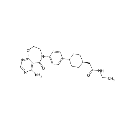 CCNC(=O)C[C@H]1CC[C@H](c2ccc(N3CCOc4ncnc(N)c4C3=O)cc2)CC1